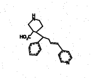 O=C(O)C1CNCCC1C(CC=Cc1ccncc1)c1ccccc1